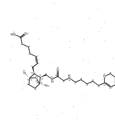 O=C(O)CCC/C=C\C[C@H]1[C@@H](CNC(=O)CNCCCCCC2=CC=CCO2)[C@H]2CC[C@@H]1O2